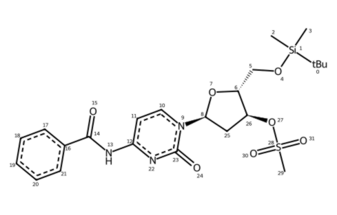 CC(C)(C)[Si](C)(C)OC[C@H]1O[C@H](n2ccc(NC(=O)c3ccccc3)nc2=O)C[C@@H]1OS(C)(=O)=O